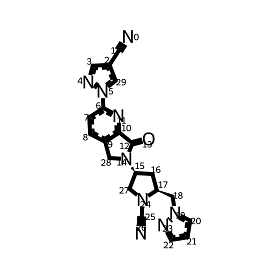 N#Cc1cnn(-c2ccc3c(n2)C(=O)N([C@@H]2C[C@@H](Cn4cccn4)N(C#N)C2)C3)c1